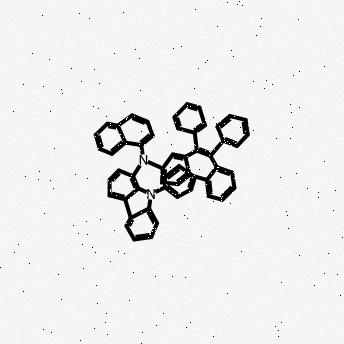 c1ccc(-c2c(-c3ccccc3)c3cc(N(c4cccc5ccccc45)c4cccc5c6ccccc6n(-c6ccccc6)c45)ccc3c3ccccc23)cc1